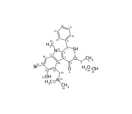 CCOC(=O)c1c(C(S)c2ccccc2)n(C)c2cc(Br)c(O)c(CN(C)C)c12.Cl.O